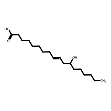 CCCCCCC(O)CC=CCCCCCCCC(=O)O